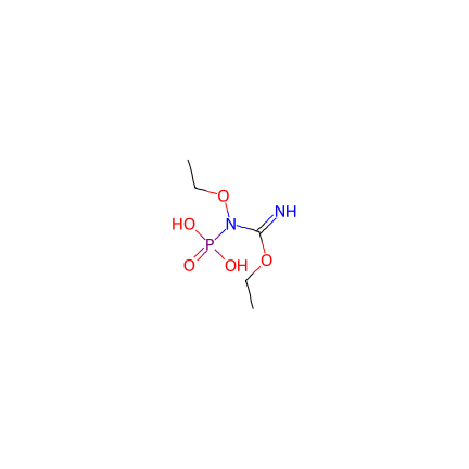 CCOC(=N)N(OCC)P(=O)(O)O